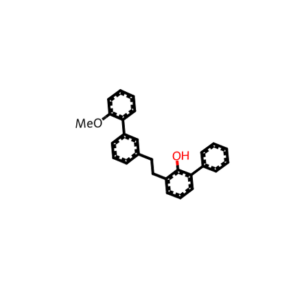 COc1ccccc1-c1cccc(CCc2cccc(-c3ccccc3)c2O)c1